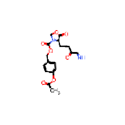 CC(=O)Oc1ccc(COC(=O)N2COC(=O)C2CCC(=O)C=N)cc1